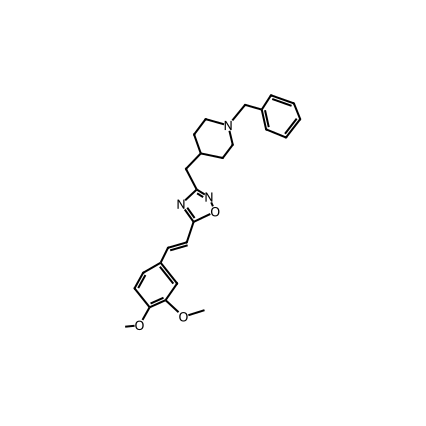 COc1ccc(C=Cc2nc(CC3CCN(Cc4ccccc4)CC3)no2)cc1OC